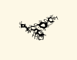 Cl.Cn1c(-c2ncc(C3CCC3)n2CCOc2cccc(OC3CCNCC3)c2)cc2sccc21